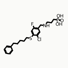 O=P(O)(O)CCCNCc1cc(Cl)c(SCCCCCc2ccccc2)cc1F